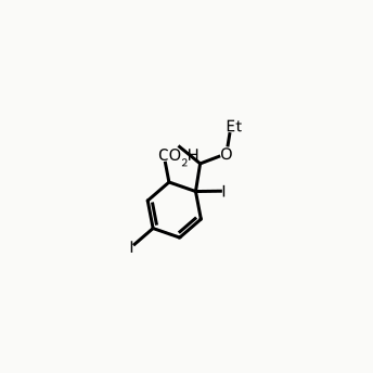 CCOC(C)C1(I)C=CC(I)=CC1C(=O)O